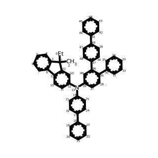 CCC1(C)c2ccccc2-c2ccc(N(c3ccc(-c4ccccc4)cc3)c3ccc(-c4ccccc4)c(-c4ccc(-c5ccccc5)cc4)c3)cc21